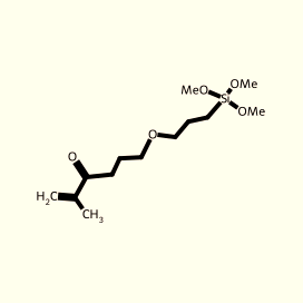 C=C(C)C(=O)CCCOCCC[Si](OC)(OC)OC